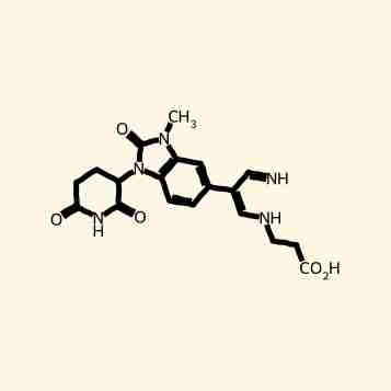 Cn1c(=O)n(C2CCC(=O)NC2=O)c2ccc(/C(C=N)=C/NCCC(=O)O)cc21